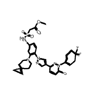 COC(=O)CS(=O)(=O)Nc1ccc(-n2cc(-c3ccc(=O)n(C4CCC(F)(F)CC4)n3)cn2)c(N2CCC3(CC2)CC3)c1